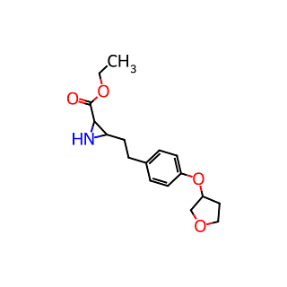 CCOC(=O)C1NC1CCc1ccc(OC2CCOC2)cc1